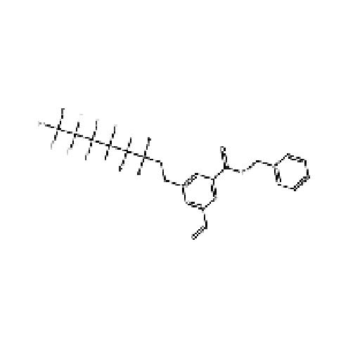 C=Cc1cc(CCC(F)(F)C(F)(F)C(F)(F)C(F)(F)C(F)(F)C(F)(F)F)cc(C(=O)OCc2ccccc2)c1